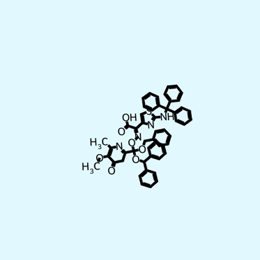 COC1=C(C)N=C(C(OCc2ccccc2)(ON=C(C(=O)O)c2csc(NC(c3ccccc3)(c3ccccc3)c3ccccc3)n2)OC(c2ccccc2)c2ccccc2)CC1=O